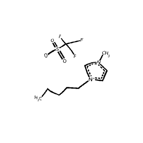 CCCCC[n+]1ccn(C)c1.O=S(=O)([O-])C(F)(F)F